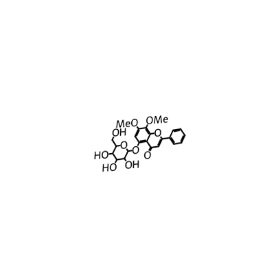 COc1cc(OC2OC(CO)C(O)C(O)C2O)c2c(=O)cc(-c3ccccc3)oc2c1OC